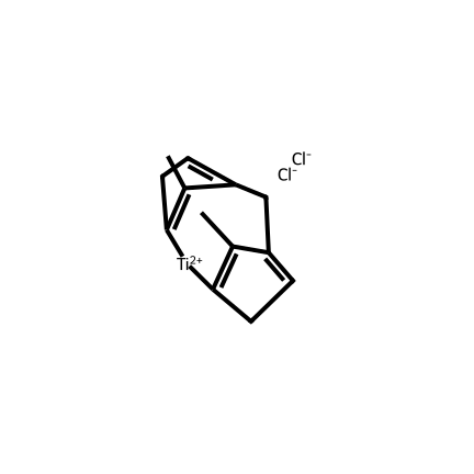 CC1=[C]2CC=C1CC1=CC[C](=C1C)[Ti+2]2.[Cl-].[Cl-]